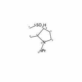 CCCN1CCCC1C.CS(=O)(=O)O